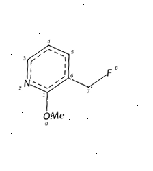 COc1ncccc1[CH]F